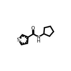 O=C(NC1CCCC1)c1ccsc1